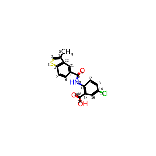 Cc1csc2ccc(C(=O)Nc3ccc(Cl)cc3C(=O)O)cc12